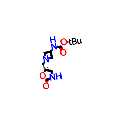 CC(C)(C)OC(=O)NC1CN(C[C@@H]2CNC(=O)O2)C1